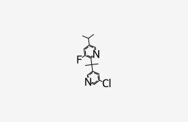 CC(C)c1cnc(C(C)(C)c2cncc(Cl)c2)c(F)c1